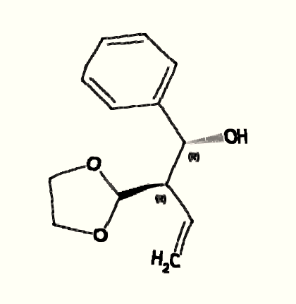 C=C[C@@H](C1OCCO1)[C@@H](O)c1ccccc1